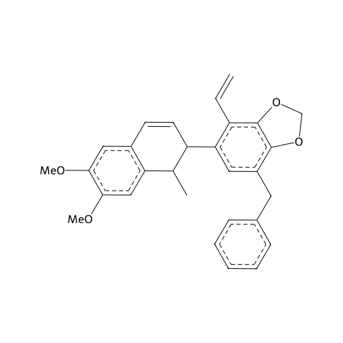 C=Cc1c(C2C=Cc3cc(OC)c(OC)cc3C2C)cc(Cc2ccccc2)c2c1OCO2